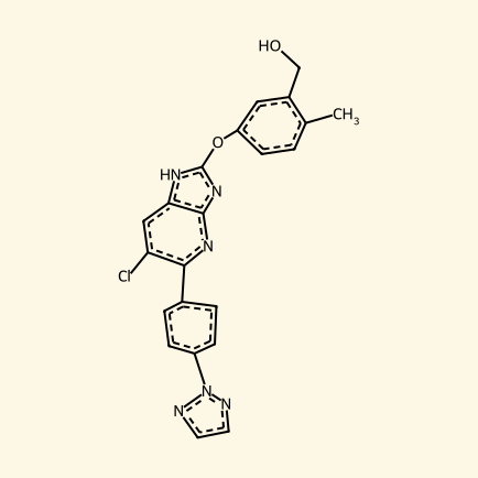 Cc1ccc(Oc2nc3nc(-c4ccc(-n5nccn5)cc4)c(Cl)cc3[nH]2)cc1CO